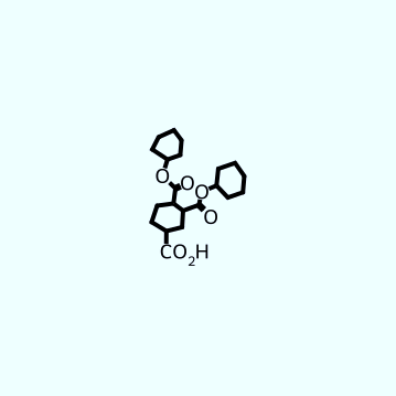 O=C(O)C1CCC(C(=O)OC2CCCCC2)C(C(=O)OC2CCCCC2)C1